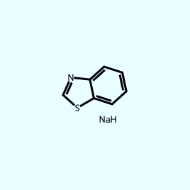 [NaH].c1ccc2scnc2c1